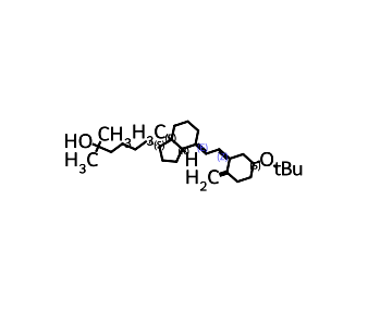 C=C1CC[C@H](OC(C)(C)C)C/C1=C/C=C1\CCC[C@]2(C)[C@@H](CCCCC(C)(C)O)CC[C@@H]12